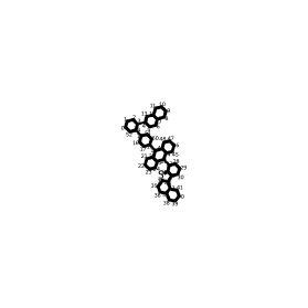 c1ccc(-c2ccc3ccccc3c2)c(-c2ccc(-c3c4ccccc4c(-c4cccc5c4sc4ccc6ccccc6c45)c4ccccc34)cc2)c1